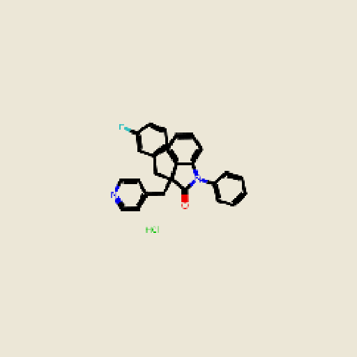 Cl.O=C1N(c2ccccc2)c2ccccc2C1(Cc1ccncc1)Cc1cccc(F)c1